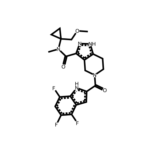 COCC1(N(C)C(=O)c2n[nH]c3c2CN(C(=O)c2cc4c(F)c(F)cc(F)c4[nH]2)CC3)CC1